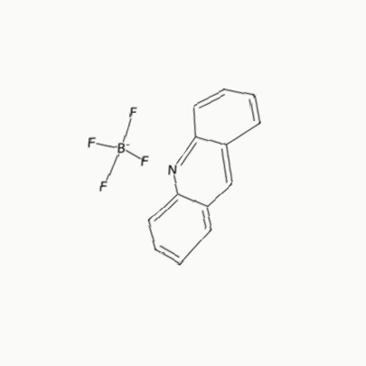 F[B-](F)(F)F.c1ccc2nc3ccccc3cc2c1